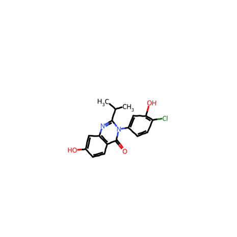 CC(C)c1nc2cc(O)ccc2c(=O)n1-c1ccc(Cl)c(O)c1